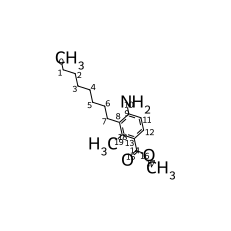 CCCCCCCCc1c(N)ccc(C(=O)OC)c1C